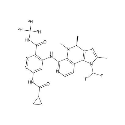 [2H]C([2H])([2H])NC(=O)c1nnc(NC(=O)C2CC2)cc1Nc1nccc2c1N(C)[C@@H](C)c1nc(C)n(C(F)F)c1-2